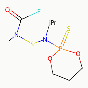 CC(C)N(SN(C)C(=O)F)P1(=S)OCCCO1